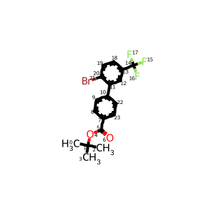 CC(C)(C)OC(=O)c1ccc(-c2cc(C(F)(F)F)ccc2Br)cc1